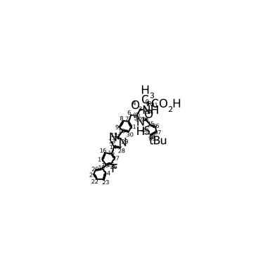 C[C@@H](NC(=O)[C@H](Cc1ccc(-c2ncc(-c3ccc(-c4ccccc4)c(F)c3)cn2)cc1)NC(=O)c1ccc(C(C)(C)C)s1)C(=O)O